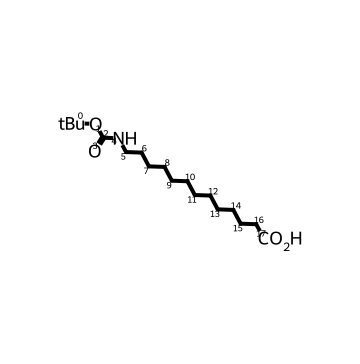 CC(C)(C)OC(=O)NCCCCCCCCCCCCC(=O)O